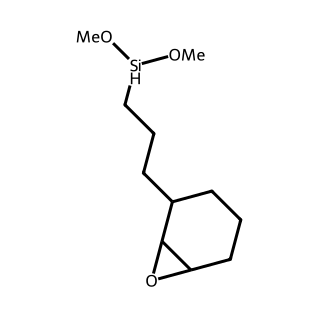 CO[SiH](CCCC1CCCC2OC12)OC